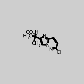 CC(C)(C(=O)O)c1cn2nc(Cl)ccc2n1